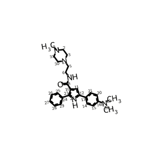 CN1CCN(CCNC(=O)c2cc(-c3ccc(N(C)C)cc3)[nH]c2-c2ccccc2)CC1